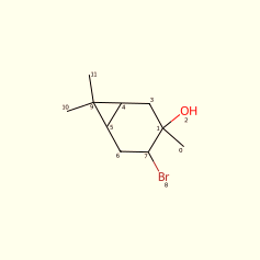 CC1(O)CC2C(CC1Br)C2(C)C